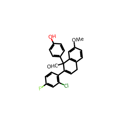 COc1ccc2c(c1)C(C=O)(c1ccc(O)cc1)C(c1ccc(F)cc1Cl)=CC2